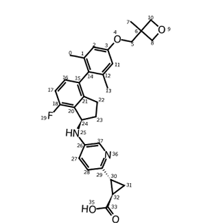 Cc1cc(OCC2(C)COC2)cc(C)c1-c1ccc(F)c2c1CC[C@H]2Nc1ccc([C@@H]2C[C@H]2C(=O)O)nc1